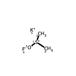 C[S+](C)[O-].[F-].[K+]